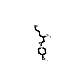 CC(CCCN)CNN1CCC(N)CC1